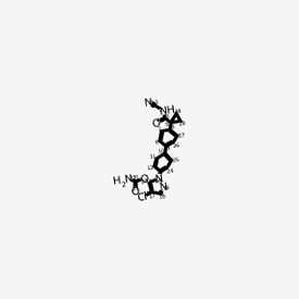 N#CNC(=O)C1(c2ccc(-c3ccc(-n4ncc(Cl)c4OC(N)=O)cc3)cc2)CC1